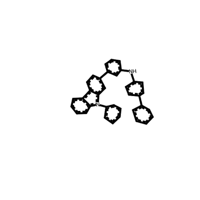 c1ccc(-c2ccc(Nc3cccc(-c4ccc5c6ccccc6n(-c6ccccc6)c5c4)c3)cc2)cc1